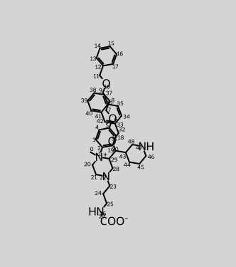 C[N+]1(c2ccc(OCCCOCc3ccccc3)cc2)CCN(CCCNC(=O)[O-])CC1C(OCc1ccc2ccccc2c1)C1CCCNC1